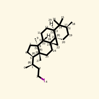 C[C@H](CCI)[C@H]1CC[C@@]2(C)[C@@H]3CC[C@H]4C(C)(C)[C@@H](C)CC[C@@]45C[C@@]35CC[C@]12C